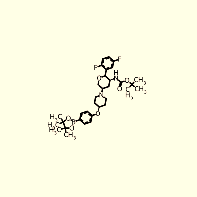 CC(C)(C)OC(=O)N[C@H]1CC(N2CCC(Oc3ccc(B4OC(C)(C)C(C)(C)O4)cc3)CC2)COC1c1cc(F)ccc1F